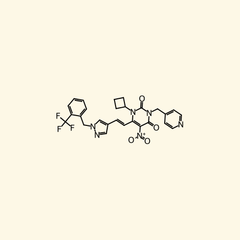 O=c1c([N+](=O)[O-])c(C=Cc2cnn(Cc3ccccc3C(F)(F)F)c2)n(C2CCC2)c(=O)n1Cc1ccncc1